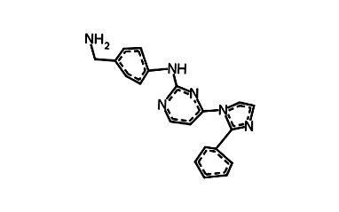 NCc1ccc(Nc2nccc(-n3ccnc3-c3ccccc3)n2)cc1